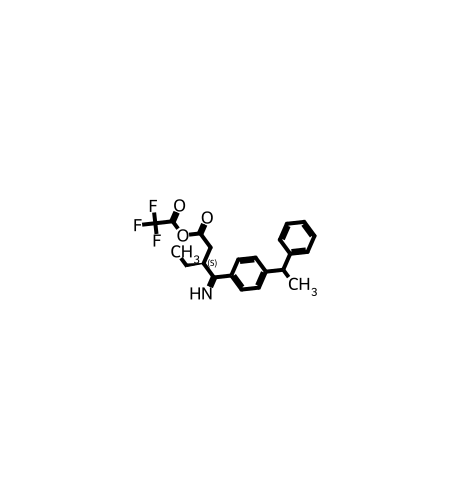 CC[C@@H](CC(=O)OC(=O)C(F)(F)F)C(=N)c1ccc(C(C)c2ccccc2)cc1